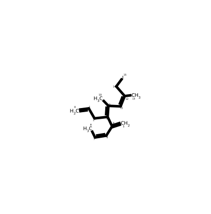 C=CC/C(C(=C)/C=C\C)=C(C)/C=C(/C)CI